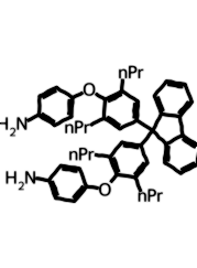 CCCc1cc(C2(c3cc(CCC)c(Oc4ccc(N)cc4)c(CCC)c3)c3ccccc3-c3ccccc32)cc(CCC)c1Oc1ccc(N)cc1